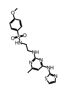 COc1ccc(S(=O)(=O)NCCNc2nc(C)cc(Nc3nccs3)n2)cc1